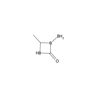 BB1C(=O)BC1C